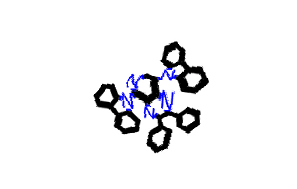 c1ccc(-c2nc3c(-n4c5ccccc5c5ccccc54)cnc(-n4c5ccccc5c5ccccc54)c3nc2-c2ccccc2)cc1